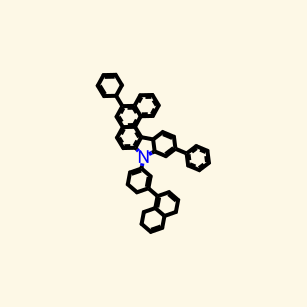 C1=CCC(c2cc3ccc4c(c3c3ccccc23)C2C=CC(c3ccccc3)=CC2N4C2=CCCC(C3=C4CCC=CC4CC=C3)=C2)C=C1